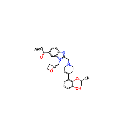 COC(=O)c1ccc2nc(CN3CC=C(c4cccc(O)c4OC(C)C#N)CC3)n(C[C@@H]3CCO3)c2c1